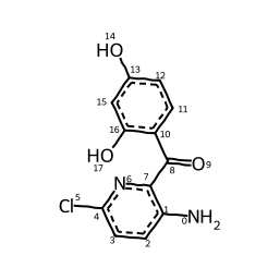 Nc1ccc(Cl)nc1C(=O)c1ccc(O)cc1O